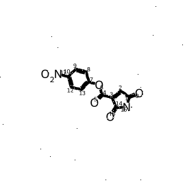 O=C1C=C(C(=O)Oc2ccc([N+](=O)[O-])cc2)C(=O)[N]1